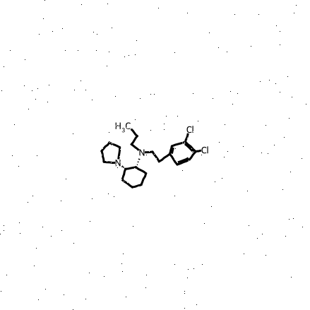 CCCN(CCc1ccc(Cl)c(Cl)c1)[C@@H]1CCCC[C@@H]1N1CCCC1